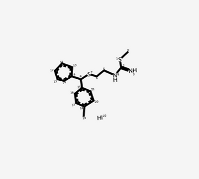 CSC(=N)NCCSC(c1ccccc1)c1ccc(C)cc1.I